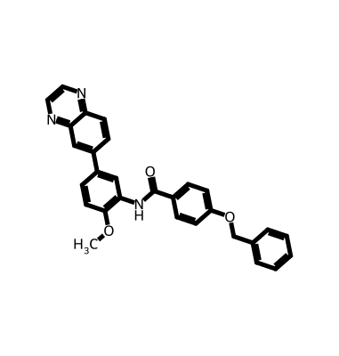 COc1ccc(-c2ccc3nccnc3c2)cc1NC(=O)c1ccc(OCc2ccccc2)cc1